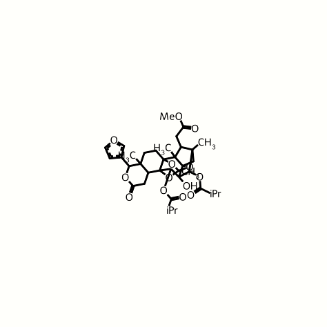 COC(=O)CC1C2(C)CC34OC5(C)OC6(C7CC(=O)OC(c8ccoc8)C7(C)CCC6(O5)C13C)C(OC(=O)C(C)C)C4(O)C2OC(=O)C(C)C